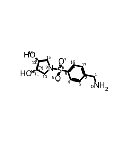 NCc1ccc(S(=O)(=O)N2C[C@@H](O)[C@@H](O)C2)cc1